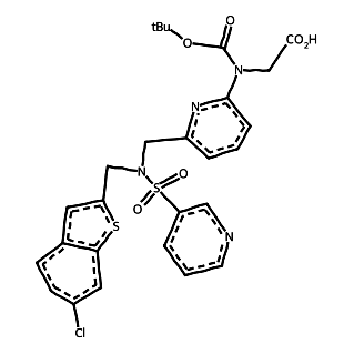 CC(C)(C)OC(=O)N(CC(=O)O)c1cccc(CN(Cc2cc3ccc(Cl)cc3s2)S(=O)(=O)c2cccnc2)n1